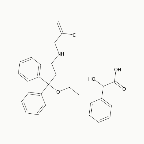 C=C(Cl)CNCCC(OCC)(c1ccccc1)c1ccccc1.O=C(O)C(O)c1ccccc1